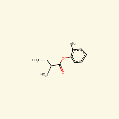 CCCCc1ccccc1OC(=O)C(CC(=O)O)S(=O)(=O)O